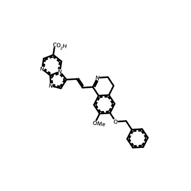 COc1cc2c(cc1OCc1ccccc1)CCN=C2/C=C/c1cnc2ncc(C(=O)O)cn12